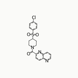 O=C(c1ccc2ncccc2n1)N1CCC(S(=O)(=O)c2ccc(Cl)cc2)CC1